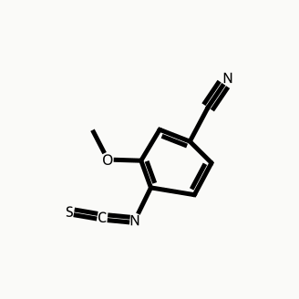 COc1cc(C#N)ccc1N=C=S